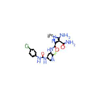 CC(C)n1nc(C(=O)Nc2cc(NC(=O)Nc3ccc(Cl)cc3)cnc2F)c(C(N)=O)c1N